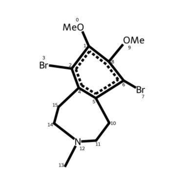 COc1c(Br)c2c(c(Br)c1OC)CCN(C)CC2